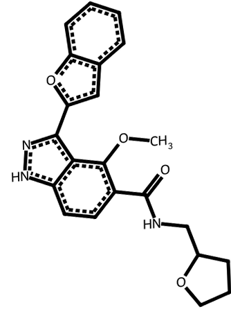 COc1c(C(=O)NCC2CCCO2)ccc2[nH]nc(-c3cc4ccccc4o3)c12